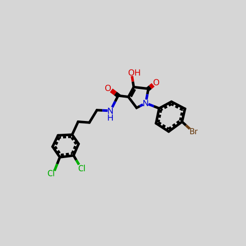 O=C(NCCCc1ccc(Cl)c(Cl)c1)C1=C(O)C(=O)N(c2ccc(Br)cc2)C1